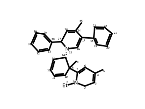 CCN1CC=C(C)C=C1C1(C)C=CC=C[C@@H]1N1C=C(c2ccccc2)C(C)=CC1c1ccccc1